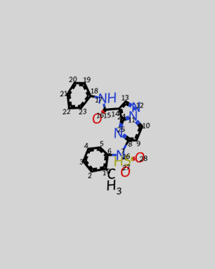 Cc1ccccc1N(c1ccn2ncc(C(=O)Nc3ccccc3)c2n1)[SH](=O)=O